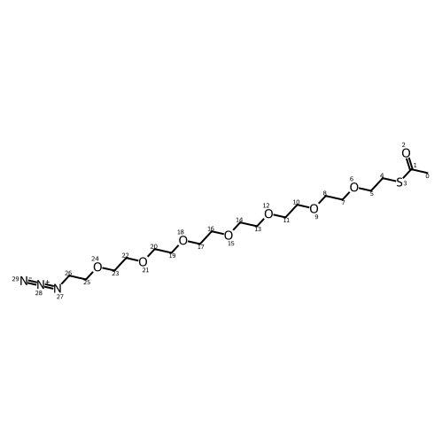 CC(=O)SCCOCCOCCOCCOCCOCCOCCOCCN=[N+]=[N-]